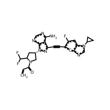 C=CC(=O)N1C[C@@H](n2nc(C#Cc3cc4ncn(C5CC5)c4cc3F)c3c(N)ncnc32)CC1C(F)F